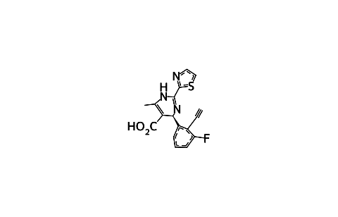 C#Cc1c(F)cccc1[C@@H]1N=C(c2nccs2)NC(C)=C1C(=O)O